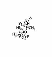 CN(CCO)c1nc(C2CC2)ncc1N1C[C@]2(CC[C@@](c3cccc(F)c3)(N(C)C)CC2)NC1=O